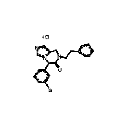 Cl.O=C1C(c2cccc(Br)c2)n2cncc2CN1CCc1ccccc1